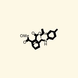 C=CC[C@H](Nc1ccc(C)cc1)C12C=CC(O1)C(C(=O)OC)=C2C(=O)OC